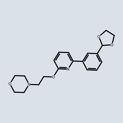 c1cc(-c2cccc(OCCN3CCOCC3)n2)cc(C2OCCO2)c1